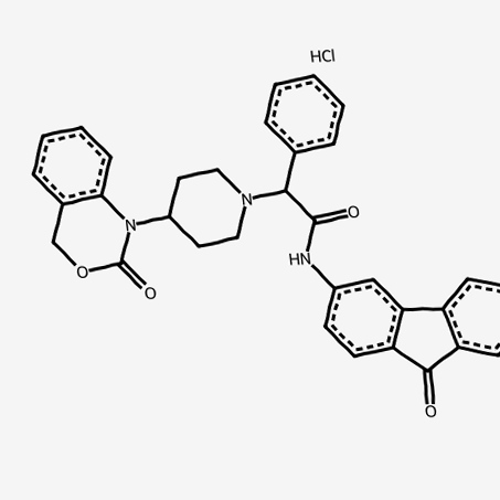 Cl.O=C1c2ccccc2-c2cc(NC(=O)C(c3ccccc3)N3CCC(N4C(=O)OCc5ccccc54)CC3)ccc21